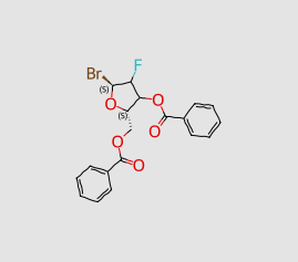 O=C(OC[C@@H]1O[C@@H](Br)C(F)C1OC(=O)c1ccccc1)c1ccccc1